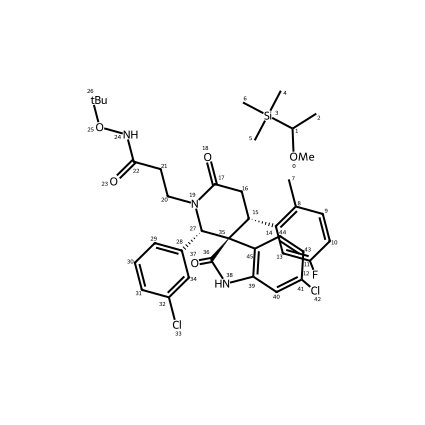 COC(C)[Si](C)(C)C.Cc1ccc(F)cc1[C@H]1CC(=O)N(CCC(=O)NOC(C)(C)C)[C@@H](c2cccc(Cl)c2)[C@]12C(=O)Nc1cc(Cl)ccc12